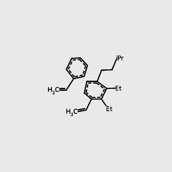 C=Cc1ccc(CCC(C)C)c(CC)c1CC.C=Cc1ccccc1